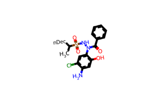 CCCCCCCCCCC(C)S(=O)(=O)NN(C(=O)c1ccccc1)c1cc(Cl)c(N)cc1O